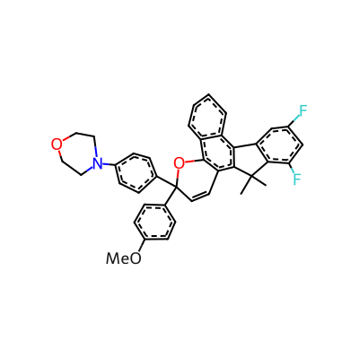 COc1ccc(C2(c3ccc(N4CCOCC4)cc3)C=Cc3c4c(c5ccccc5c3O2)-c2cc(F)cc(F)c2C4(C)C)cc1